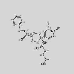 O=C(NC1(c2ccc(F)c(F)c2)CCN(C(=O)OCc2ccccc2)CC1)OCCCl